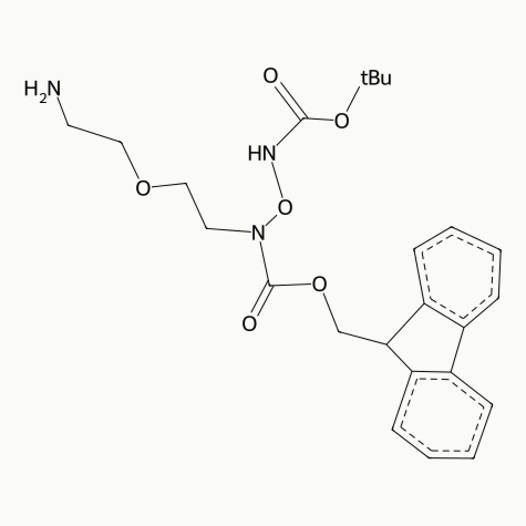 CC(C)(C)OC(=O)NON(CCOCCN)C(=O)OCC1c2ccccc2-c2ccccc21